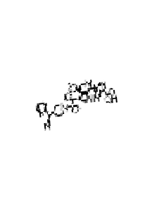 COc1cnc(-n2cnc(C(=O)O)n2)c2[nH]cc(C(=O)C(=O)N3CCC(=C(C#N)c4ccccn4)CC3)c12